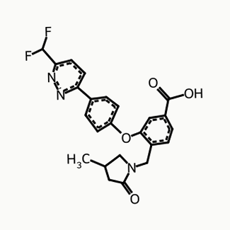 CC1CC(=O)N(Cc2ccc(C(=O)O)cc2Oc2ccc(-c3ccc(C(F)F)nn3)cc2)C1